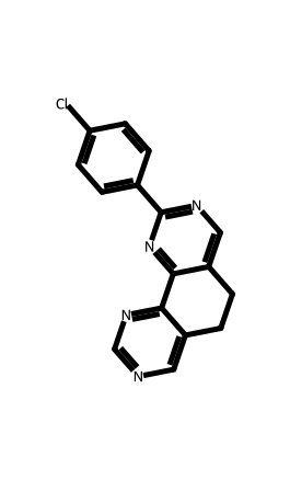 Clc1ccc(-c2ncc3c(n2)-c2ncncc2CC3)cc1